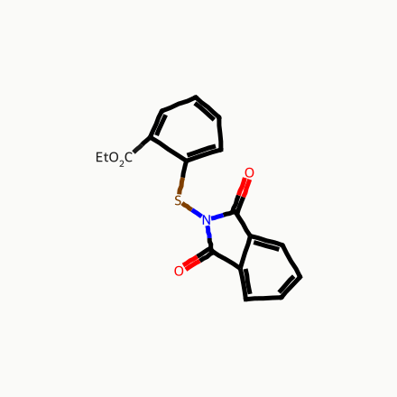 CCOC(=O)c1ccccc1SN1C(=O)c2ccccc2C1=O